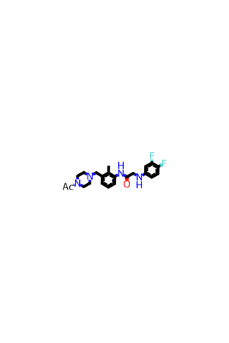 CC(=O)N1CCN(Cc2cccc(NC(=O)CNc3ccc(F)c(F)c3)c2C)CC1